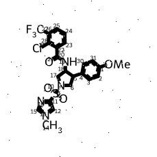 COc1ccc(C2CN(S(=O)(=O)c3cn(C)cn3)CC2NC(=O)c2cccc(C(F)(F)F)c2Cl)cc1